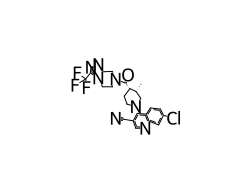 C[C@@H]1CN(c2c(C#N)cnc3cc(Cl)ccc23)CC[C@@H]1C(=O)N1CCn2c(nnc2C(F)(F)F)C1